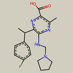 Cc1nc(NCN2CCCC2)c(C(C)c2ccc(F)cc2)nc1C(=O)O